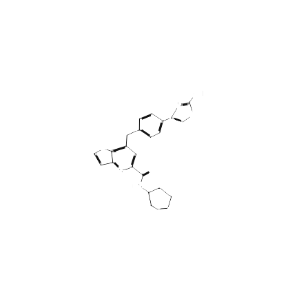 Cc1nc(-c2ccc(Cc3cc(C(=O)NC4CCCCC4)nc4ccsc34)cc2)co1